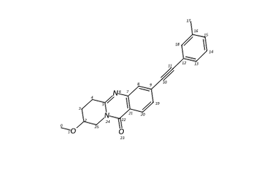 COC1CCc2nc3cc(C#Cc4cccc(C)c4)ccc3c(=O)n2C1